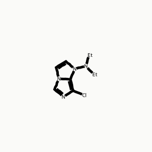 CCN(CC)n1ccn2cnc(Cl)c12